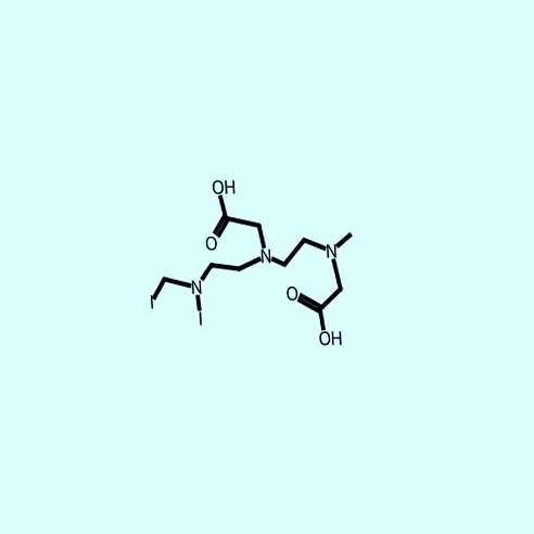 CN(CCN(CCN(I)CI)CC(=O)O)CC(=O)O